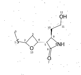 CSC1CC([C@H]2C(=O)N[C@@H]2CCO)O1